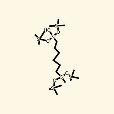 C[Si](C)(C)O[Si](C)(CCCCCC[Si](O)(O[Si](C)(C)C)O[Si](C)(C)C)O[Si](C)(C)C